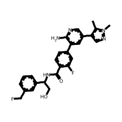 Cc1c(-c2cnc(N)c(-c3ccc(C(=O)NC(CO)c4cccc(CF)c4)c(F)c3)c2)cnn1C